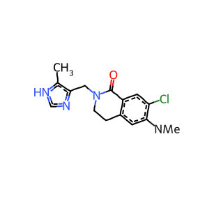 CNc1cc2c(cc1Cl)C(=O)N(Cc1nc[nH]c1C)CC2